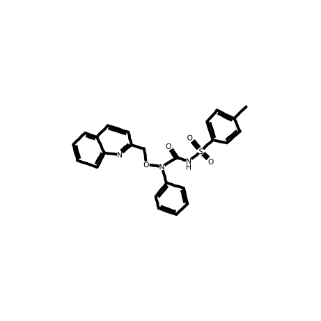 Cc1ccc(S(=O)(=O)NC(=O)N(OCc2ccc3ccccc3n2)c2ccccc2)cc1